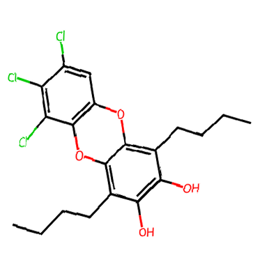 CCCCc1c(O)c(O)c(CCCC)c2c1Oc1cc(Cl)c(Cl)c(Cl)c1O2